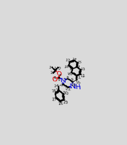 CC(C)(C)OC(=O)N1C[C@@H](Cc2ccc3ccccc3c2)NC[C@@H]1Cc1ccccc1